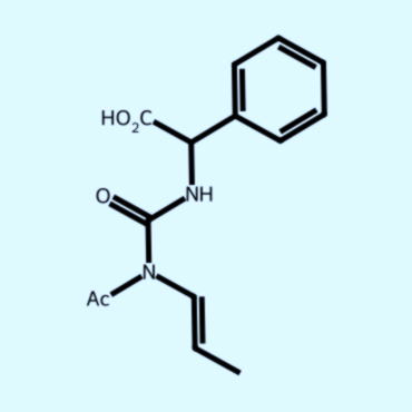 CC=CN(C(C)=O)C(=O)NC(C(=O)O)c1ccccc1